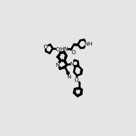 N#Cc1cnc2cc(OC3CCOC3)c(NC(=O)C=C3CCNCC3)cc2c1N1CCC2=C1CC(OCc1ccccc1)C=C2